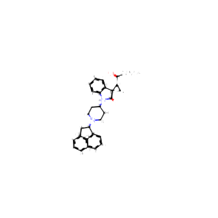 CNC(=O)[C@H]1C[C@]12C(=O)N(C1CCN(C3Cc4cccc5cccc3c45)CC1)c1ccccc12